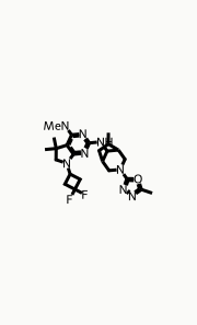 CNc1nc(NC2C3CC(C)C2CN(c2nnc(C)o2)C3)nc2c1C(C)(C)CN2C1CC(F)(F)C1